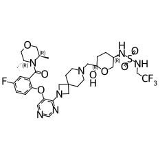 C[C@@H]1COC[C@@H](C)N1C(=O)c1cc(F)ccc1Oc1cncnc1N1CC2(CCN(C[C@@]3(O)CC[C@@H](NS(=O)(=O)NCC(F)(F)F)CO3)CC2)C1